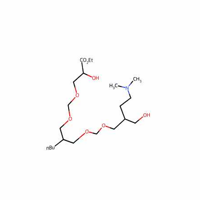 CCCCC(COCOCC(CO)CCN(C)C)COCOCC(O)C(=O)OCC